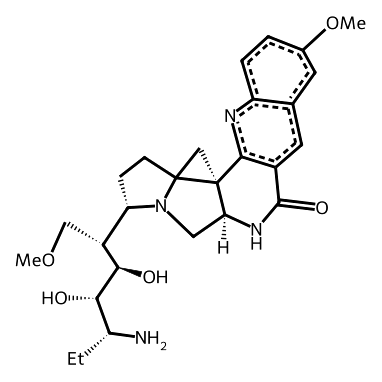 CC[C@@H](N)[C@H](O)[C@H](O)[C@H](COC)[C@@H]1CCC23C[C@@]24c2nc5ccc(OC)cc5cc2C(=O)N[C@H]4CN13